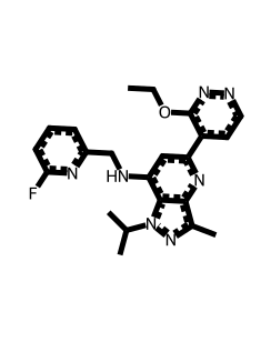 CCOc1nnccc1-c1cc(NCc2cccc(F)n2)c2c(n1)c(C)nn2C(C)C